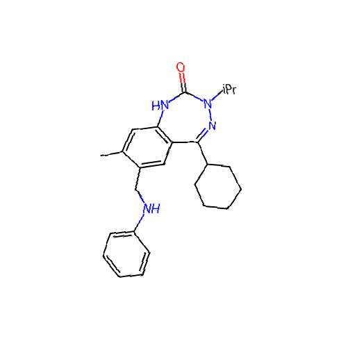 Cc1cc2c(cc1CNc1ccccc1)C(C1CCCCC1)=NN(C(C)C)C(=O)N2